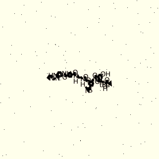 Cc1ncsc1-c1ccc(CNC(=O)[C@@H]2C[C@@H](O)CN2C(=O)C(CNC(=O)C2(F)CC2)C(C)(C)C)c(OCC(=O)NCCCNC(=O)c2ccc(C(=O)Nc3ccc4[nH]c(CN5CCC[C@@H]5C)nc4c3)cc2)c1